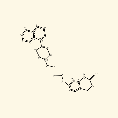 O=C1CCc2ccc(OCCCCN3CCN(c4cccc5ncccc45)CC3)nc2N1